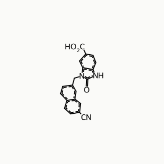 N#Cc1ccc2ccc(Cn3c(=O)[nH]c4ccc(C(=O)O)cc43)cc2c1